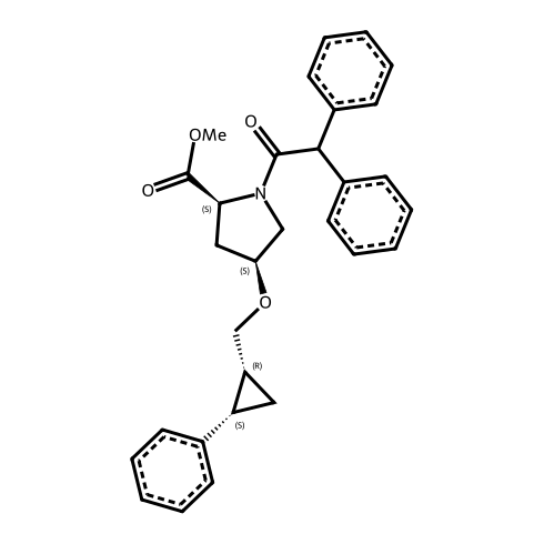 COC(=O)[C@@H]1C[C@H](OC[C@@H]2C[C@@H]2c2ccccc2)CN1C(=O)C(c1ccccc1)c1ccccc1